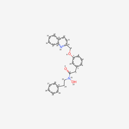 O=C(Cc1cccc(OCc2ccc3ccccc3n2)c1)N(O)CCc1ccccc1